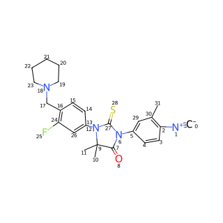 [C-]#[N+]c1ccc(N2C(=O)C(C)(C)N(c3ccc(CN4CCCCC4)c(F)c3)C2=S)cc1C